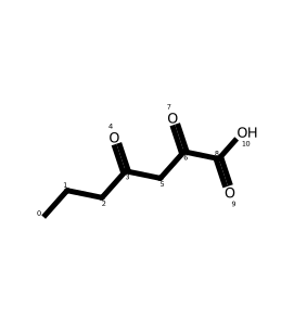 CCCC(=O)CC(=O)C(=O)O